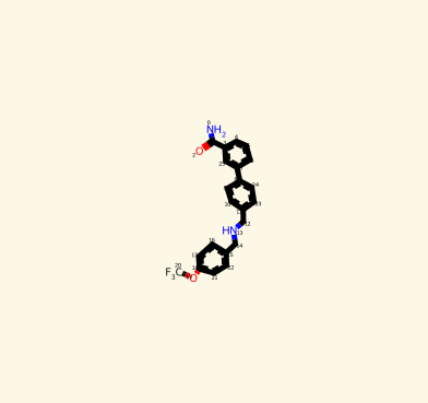 NC(=O)c1cccc(-c2ccc(CNCc3ccc(OC(F)(F)F)cc3)cc2)c1